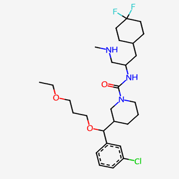 CCOCCCOC(c1cccc(Cl)c1)C1CCCN(C(=O)NC(CNC)CC2CCC(F)(F)CC2)C1